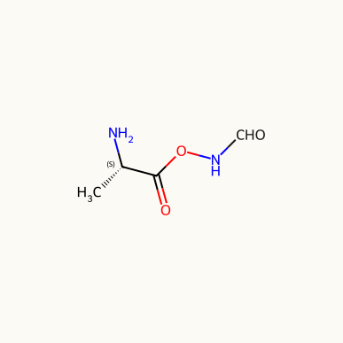 C[C@H](N)C(=O)ONC=O